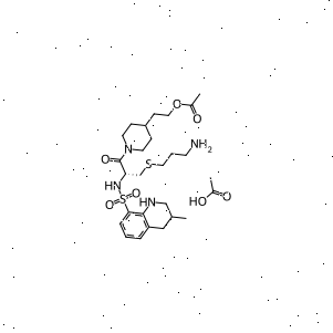 CC(=O)O.CC(=O)OCCC1CCN(C(=O)[C@H](CSCCCN)NS(=O)(=O)c2cccc3c2NCC(C)C3)CC1